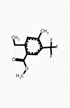 CCc1cc(C)c(C(F)(F)F)cc1C(=O)OC